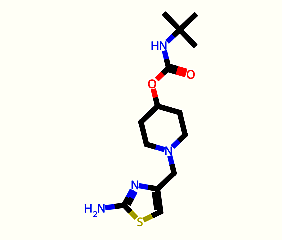 CC(C)(C)NC(=O)OC1CCN(Cc2csc(N)n2)CC1